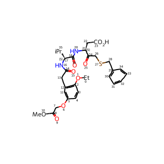 CCOc1ccc(OCC(=O)OC)cc1CC(=O)N[C@H](C(=O)N[C@@H](CC(=O)O)C(=O)CSCc1ccccc1)C(C)C